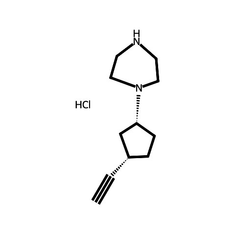 C#C[C@H]1CC[C@@H](N2CCNCC2)C1.Cl